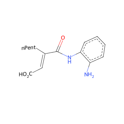 CCCCCC(=CC(=O)O)C(=O)Nc1ccccc1N